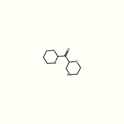 O=C(C1CCCC[N]1)C1CNCCO1